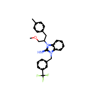 COCC(Cc1ccc(C)cc1)n1c(=N)n(Cc2cccc(C(F)(F)F)c2)c2ccccc21